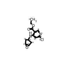 CCOC(=O)c1cnc(Cl)cc1NC1CC2OC2C1